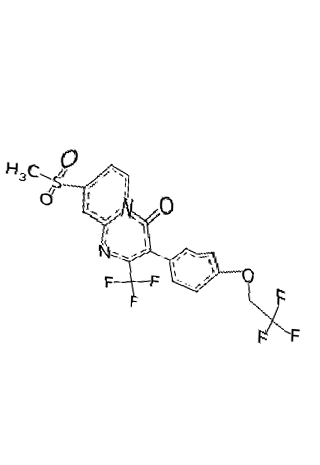 CS(=O)(=O)c1ccn2c(=O)c(-c3ccc(OCC(F)(F)F)cc3)c(C(F)(F)F)nc2c1